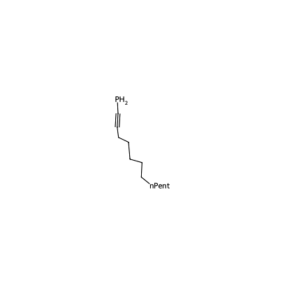 CCCCCCCCCCC#CP